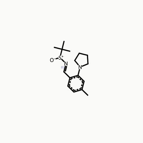 Cc1ccc(/C=N/[S+]([O-])C(C)(C)C)c(N2CCCC2)c1